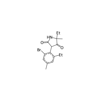 CCc1cc(C)cc(Br)c1C1C(=O)NC(C)(CC)C1=O